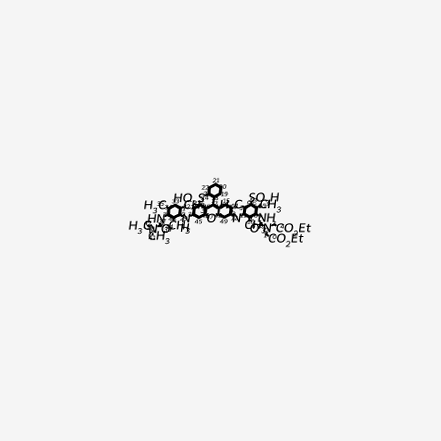 CCOC(=O)CN(CC(=O)OCC)C(=O)Nc1c(C)c(/N=c2\ccc3c(-c4ccccc4S(=O)(=O)O)c4ccc(Nc5c(C)cc(C)c(NC(=O)N(C)C)c5C)cc4oc-3c2)c(C)c(S(=O)(=O)O)c1C